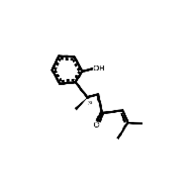 CC(C)=CC(=O)C[C@@H](C)c1ccccc1O